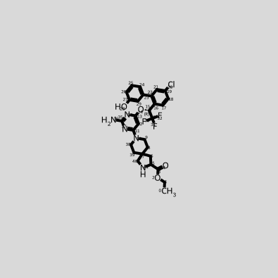 CCOC(=O)C1CC2(CCN(c3cc(O[C@H](c4ccc(Cl)cc4-c4cccc(O)c4)C(F)(F)F)nc(N)n3)CC2)CN1